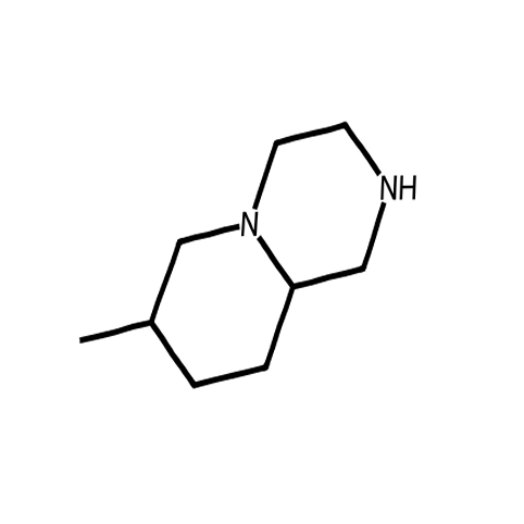 CC1CCC2CNCCN2C1